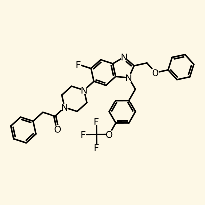 O=C(Cc1ccccc1)N1CCN(c2cc3c(cc2F)nc(COc2ccccc2)n3Cc2ccc(OC(F)(F)F)cc2)CC1